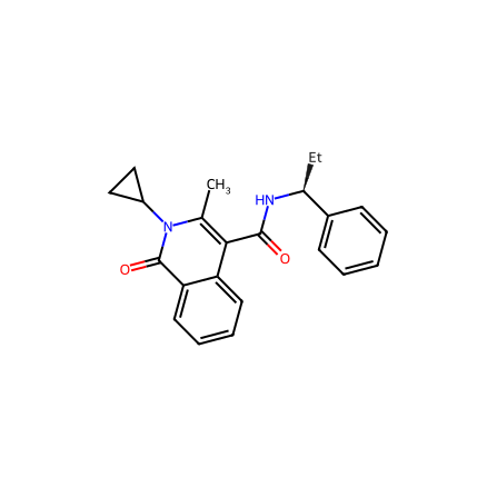 CC[C@H](NC(=O)c1c(C)n(C2CC2)c(=O)c2ccccc12)c1ccccc1